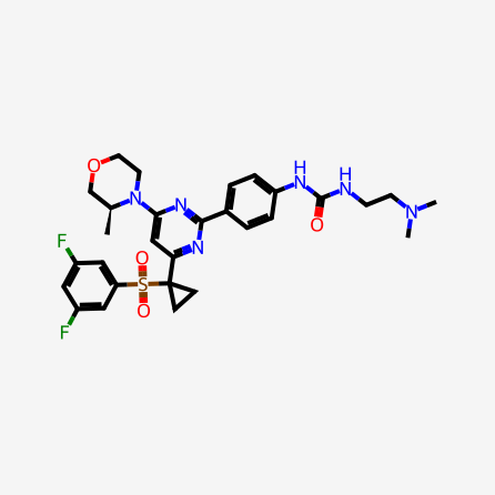 C[C@H]1COCCN1c1cc(C2(S(=O)(=O)c3cc(F)cc(F)c3)CC2)nc(-c2ccc(NC(=O)NCCN(C)C)cc2)n1